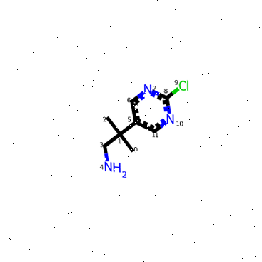 CC(C)(CN)c1cnc(Cl)nc1